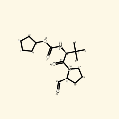 CC(C)(C)[C@H](NC(=O)OC1CCCC1)C(=O)N1CCC[C@H]1C=O